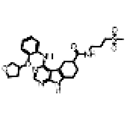 CS(=O)(=O)CCCNC(=O)C1CCc2[nH]c3ncnc(Nc4ccccc4OC4CCOC4)c3c2C1